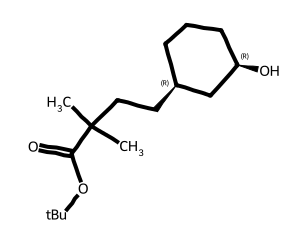 CC(C)(C)OC(=O)C(C)(C)CC[C@H]1CCC[C@@H](O)C1